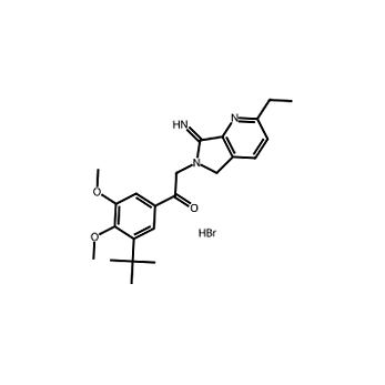 Br.CCc1ccc2c(n1)C(=N)N(CC(=O)c1cc(OC)c(OC)c(C(C)(C)C)c1)C2